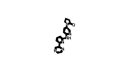 O=C1CCCN1c1ccc(Nc2cccc(-c3cnccn3)n2)nc1